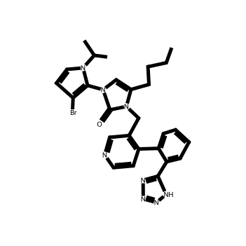 CCCCc1cn(-c2c(Br)ccn2C(C)C)c(=O)n1Cc1cnccc1-c1ccccc1-c1nnn[nH]1